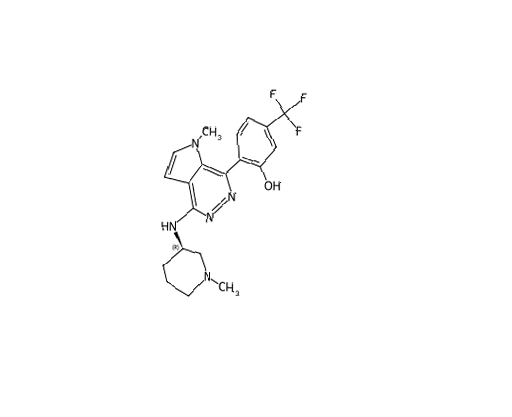 CN1CCC[C@@H](Nc2nnc(-c3ccc(C(F)(F)F)cc3O)c3c2ccn3C)C1